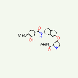 CNC(=O)c1cc(Oc2ccc3c(c2)CC(NC(=O)c2ccc(OC)c(O)c2)CC3)ccn1